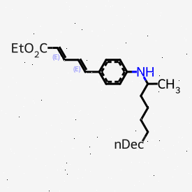 CCCCCCCCCCCCCCC(C)Nc1ccc(/C=C/C=C/C(=O)OCC)cc1